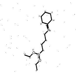 CCO[SiH](CCCCN=C1CCCCC1)OCC